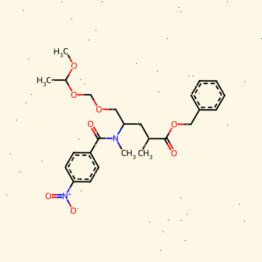 COC(C)OCOCC(CC(C)C(=O)OCc1ccccc1)N(C)C(=O)c1ccc([N+](=O)[O-])cc1